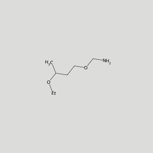 CCOC(C)CCOCN